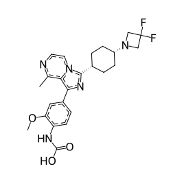 COc1cc(-c2nc([C@H]3CC[C@@H](N4CC(F)(F)C4)CC3)n3ccnc(C)c23)ccc1NC(=O)O